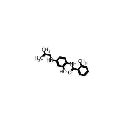 C=C(C)CNc1ccc(NC(=O)c2ccccc2C)c(O)c1